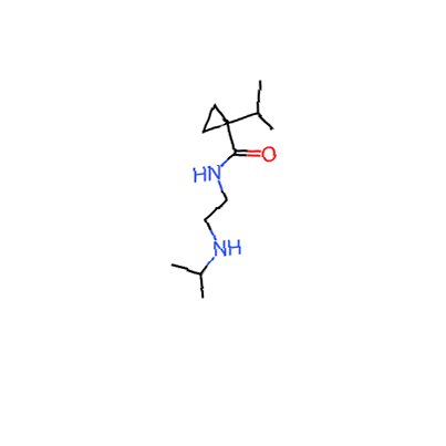 CC(C)NCCNC(=O)C1(C(C)C)CC1